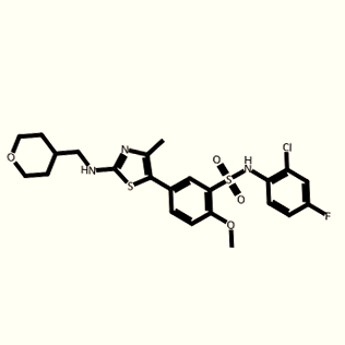 COc1ccc(-c2sc(NCC3CCOCC3)nc2C)cc1S(=O)(=O)Nc1ccc(F)cc1Cl